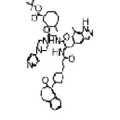 Cc1cc(C[C@@H](NC(=O)CCC2CCC(/C3=C/c4ccccc4CCCC3=O)CC2)C(=O)N[C@@H](CC2CCCCC(C(=O)OC(C)(C)C)CC2)C(=O)N2CCN(c3ccncc3)CC2)cc2cn[nH]c12